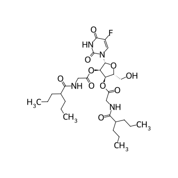 CCCC(CCC)C(=O)NCC(=O)O[C@@H]1[C@H](OC(=O)CNC(=O)C(CCC)CCC)[C@@H](CO)O[C@H]1n1cc(F)c(=O)[nH]c1=O